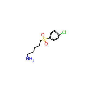 NCCCCCS(=O)(=O)c1ccc(Cl)cc1